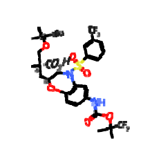 CC(C)(OC(=O)Nc1ccc2c(c1)N(S(=O)(=O)c1cccc(C(F)(F)F)c1)C[C@H](C[C@@](C)(CO[Si](C)(C)C(C)(C)C)C(=O)O)O2)C(F)(F)F